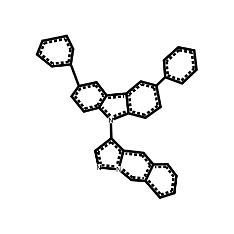 c1ccc(-c2ccc3c(c2)c2cc(-c4ccccc4)ccc2n3-c2cnn3cc4ccccc4cc23)cc1